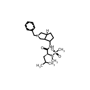 CC(C)C[C@@H](C(=O)NC1CC[C@H]2CN(Cc3ccccc3)CC12)N(C)S(C)(=O)=O